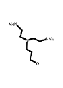 CNCCN(CCC[O])CCNC